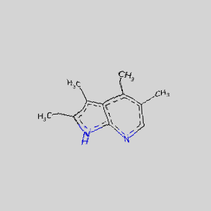 Cc1cnc2[nH]c(C)c(C)c2c1C